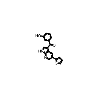 O=C(c1cccc(O)c1)c1c[nH]c2ncc(-c3cccs3)cc12